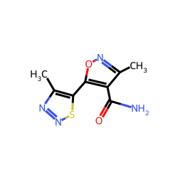 Cc1nnsc1-c1onc(C)c1C(N)=O